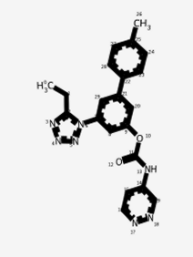 CCc1nnnn1-c1cc(OC(=O)Nc2ccnnc2)cc(-c2ccc(C)cc2)c1